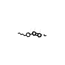 CCCCCC1CC=C(c2cc3c(c(F)c2F)-c2c-3ccc(OCC)c2F)CC1